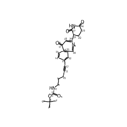 CC(C)(C)OC(=O)NCCCC#Cc1ccc2c(=O)cc(C3CCC(=O)NC3=O)ncc2c1